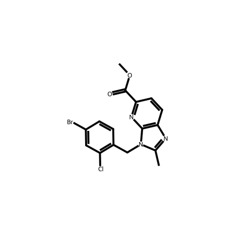 COC(=O)c1ccc2nc(C)n(Cc3ccc(Br)cc3Cl)c2n1